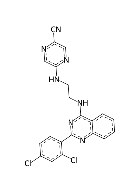 N#Cc1cnc(NCCNc2nc(-c3ccc(Cl)cc3Cl)nc3ccccc23)cn1